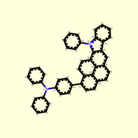 c1ccc(N(c2ccccc2)c2ccc(-c3ccc4ccc5cc6c7ccccc7n(-c7ccccc7)c6c6ccc3c4c56)cc2)cc1